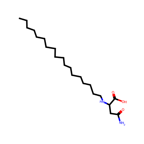 CCCCCCCCCCCCCCCCCCNC(CC(N)=O)C(=O)O